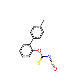 Cc1ccc(-c2ccccc2OC(=S)N=C=O)cc1